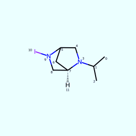 CC(C)N1CC2C[C@@H]1CN2I